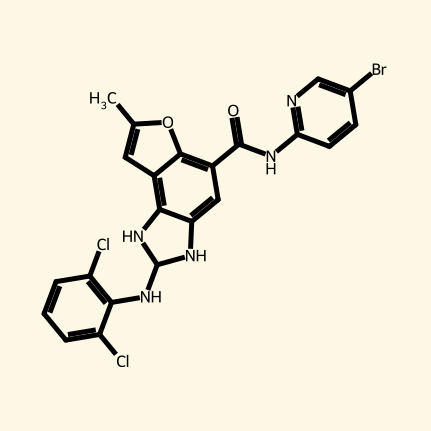 Cc1cc2c3c(cc(C(=O)Nc4ccc(Br)cn4)c2o1)NC(Nc1c(Cl)cccc1Cl)N3